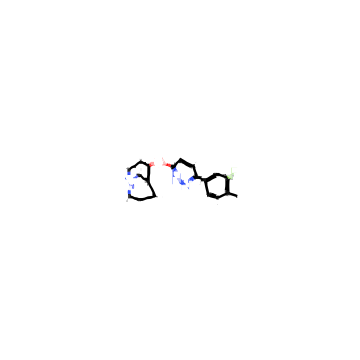 Cc1ccc(-c2ccc(OC3CCN4CCCC3C4)nn2)cc1F